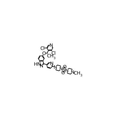 C[C@@H](Oc1ccc2[nH]nc(-c3ccc(N4CCN(S(=O)(=O)N5CCN(C)CC5)CC4)nc3)c2c1)c1c(Cl)cncc1Cl